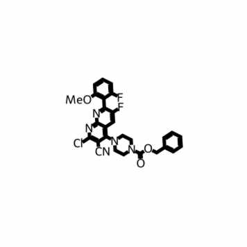 COc1cccc(F)c1-c1nc2nc(Cl)c(C#N)c(N3CCN(C(=O)OCc4ccccc4)CC3)c2cc1F